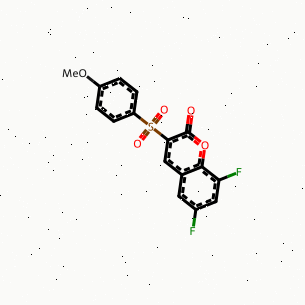 COc1ccc(S(=O)(=O)c2cc3cc(F)cc(F)c3oc2=O)cc1